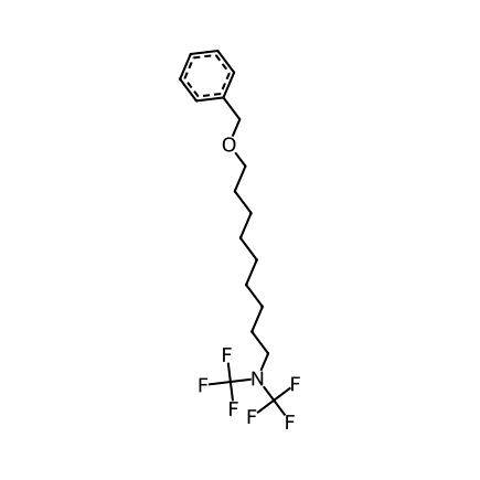 FC(F)(F)N(CCCCCCCCCOCc1ccccc1)C(F)(F)F